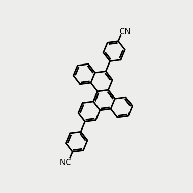 N#Cc1ccc(-c2ccc3c(c2)c2ccccc2c2cc(-c4ccc(C#N)cc4)c4ccccc4c32)cc1